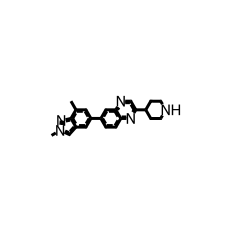 Cc1cc(-c2ccc3nc(C4CCNCC4)cnc3c2)cc2cn(C)nc12